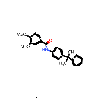 COc1ccc(C(=O)Nc2ccc(C(C)(C#N)c3ccccc3)cc2)cc1OC